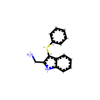 NCc1[nH]c2ccccc2c1Sc1ccccc1